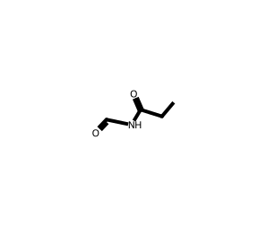 CCC(=O)NC=O